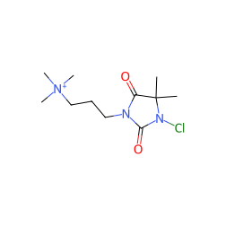 CC1(C)C(=O)N(CCC[N+](C)(C)C)C(=O)N1Cl